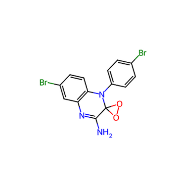 NC1=Nc2cc(Br)ccc2N(c2ccc(Br)cc2)C12OO2